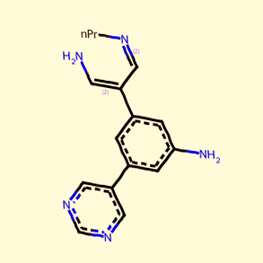 CCC/N=C\C(=C/N)c1cc(N)cc(-c2cncnc2)c1